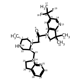 C[C@@H]1CN(CC(=O)N2CC(C)(C)c3ncc(C(C)(F)F)cc32)[C@@H](CN2CCc3cccnc32)CN1